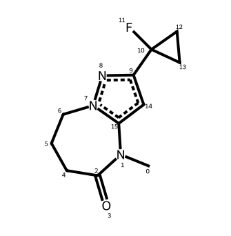 CN1C(=O)CCCn2nc(C3(F)CC3)cc21